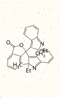 CCC1(C)N=c2ccccc2=C1C1(C2=c3ccccc3=NC2(C)CC)OC(=O)c2ccccc21